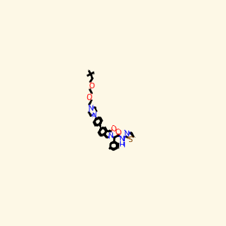 CC(C)(C)CCOCCOCCN1CCN(c2ccc(-c3ccc4c(c3)C(=O)N(C(C(=O)Nc3nccs3)c3ccccc3)C4)cc2)CC1